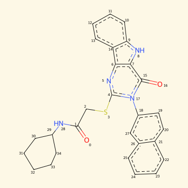 O=C(CSc1nc2c([nH]c3ccccc32)c(=O)n1-c1ccc2ccccc2c1)NC1CCCCC1